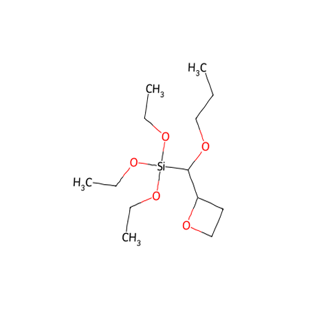 CCCOC(C1CCO1)[Si](OCC)(OCC)OCC